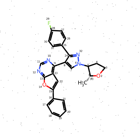 C[C@H]1OCCC1n1cc(-c2ncnc3oc(-c4ccccc4)cc23)c(-c2ccc(F)cc2)n1